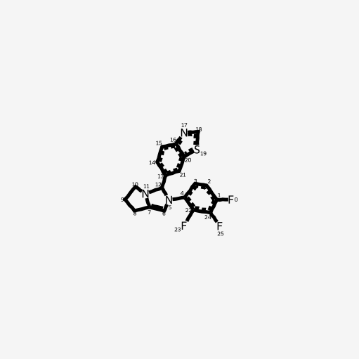 Fc1ccc(N2C=C3CCCN3C2c2ccc3ncsc3c2)c(F)c1F